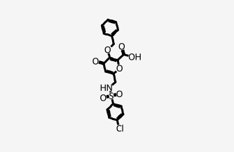 O=C(O)c1oc(CNS(=O)(=O)c2ccc(Cl)cc2)cc(=O)c1OCc1ccccc1